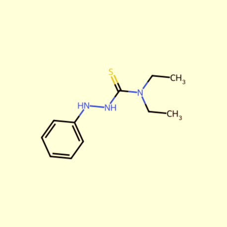 CCN(CC)C(=S)NNc1ccccc1